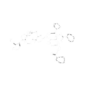 CC12CCC(OC3OCC(OC(=O)c4ccccc4)[C@@H](OC(=O)c4ccccc4)C3OC(=O)c3ccccc3)CC1CCC1C2CCC2(C)C(C3=CCOC3=O)CCC12O